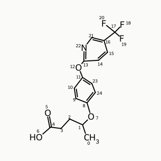 CC(CCC(=O)O)Oc1ccc(Oc2ccc(C(F)(F)F)cn2)cc1